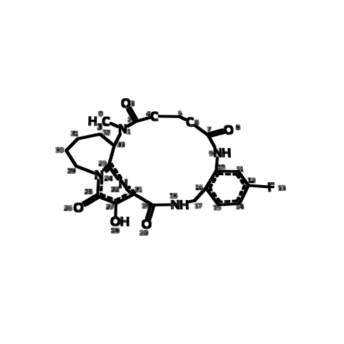 CN1C(=O)CCCC(=O)Nc2cc(F)ccc2CNC(=O)c2nc3n(c(=O)c2O)CCCCC31